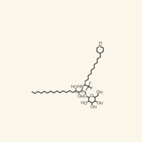 CCCCCCCCCCCCCC[C@@H](O)[C@@H](O)[C@H](COC1OC(CO)C(O)C(O)C1O)N[C@@H](CCCCCCCCCCC1CCNCC1)C(F)(F)F